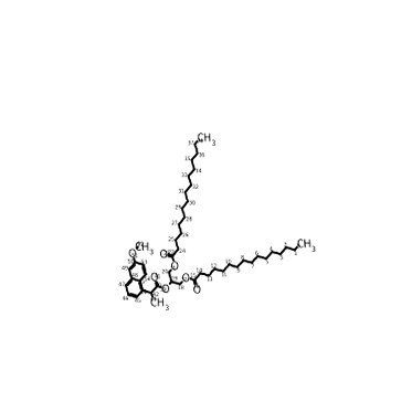 CCCCCCCCCCCCCCCC(=O)OCC(COC(=O)CCCCCCCCCCCCCCC)OC(=O)C(C)c1cccc2cc(OC)ccc12